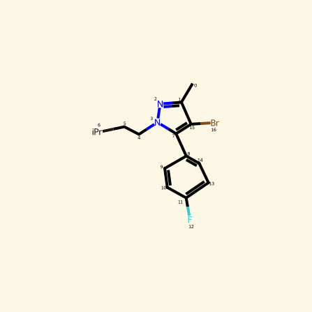 Cc1nn(CCC(C)C)c(-c2ccc(F)cc2)c1Br